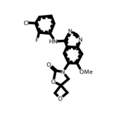 COc1cc2ncnc(Nc3cccc(Cl)c3F)c2cc1N1CC2(COC2)OC1=O